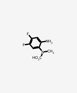 CN(C(=O)O)c1cc(F)c(F)cc1N